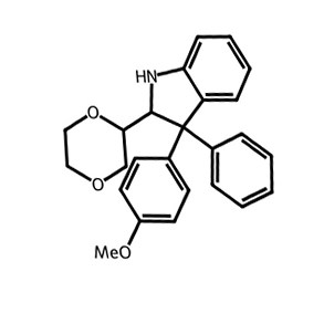 COc1ccc(C2(c3ccccc3)c3ccccc3NC2C2COCCO2)cc1